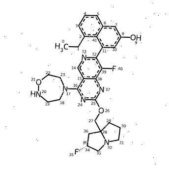 CCc1cccc2cc(O)cc(-c3ncc4c(N5CCNOCC5)nc(OCC56CCCN5C[C@H](F)C6)nc4c3F)c12